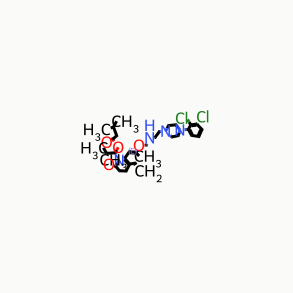 C=CC1=C(/C=C(\C)OCNCCN2CCN(c3cccc(Cl)c3Cl)CC2)N(C(OC(=O)CC(C)C)C(C)C)C(=O)CC1